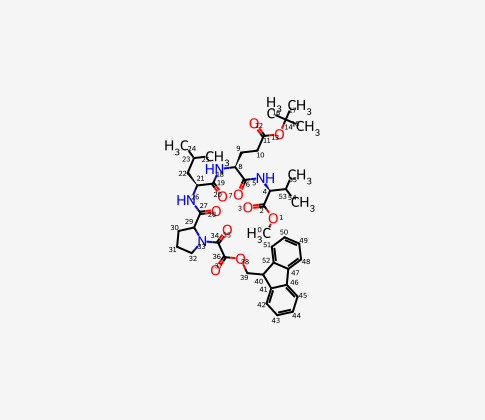 COC(=O)[C@@H](NC(=O)[C@H](CCC(=O)OC(C)(C)C)NC(=O)[C@H](CC(C)C)NC(=O)C1CCCN1C(=O)C(=O)OCC1c2ccccc2-c2ccccc21)C(C)C